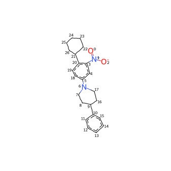 O=[N+]([O-])c1cc(N2CCC(c3ccccc3)CC2)ccc1C1CCCCC1